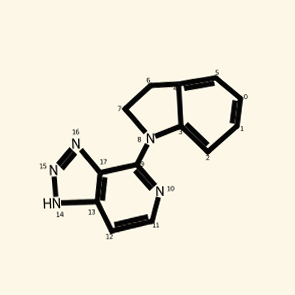 c1ccc2c(c1)CCN2c1nccc2[nH]nnc12